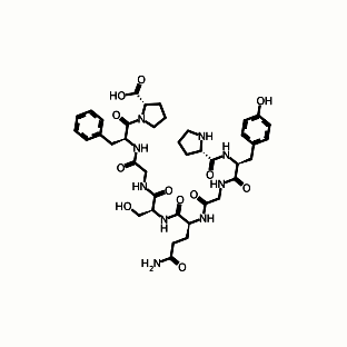 NC(=O)CC[C@H](NC(=O)CNC(=O)[C@H](Cc1ccc(O)cc1)NC(=O)[C@@H]1CCCN1)C(=O)N[C@@H](CO)C(=O)NCC(=O)N[C@@H](Cc1ccccc1)C(=O)N1CCC[C@H]1C(=O)O